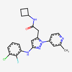 Cc1cc(-n2nc(Nc3cccc(Cl)c3F)cc2CC(=O)NC2CCC2)ccn1